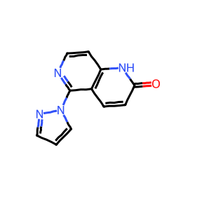 O=c1ccc2c(-n3cccn3)nccc2[nH]1